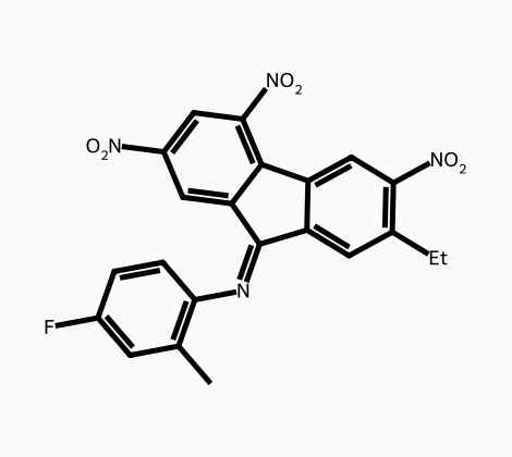 CCc1cc2c(cc1[N+](=O)[O-])-c1c(cc([N+](=O)[O-])cc1[N+](=O)[O-])C2=Nc1ccc(F)cc1C